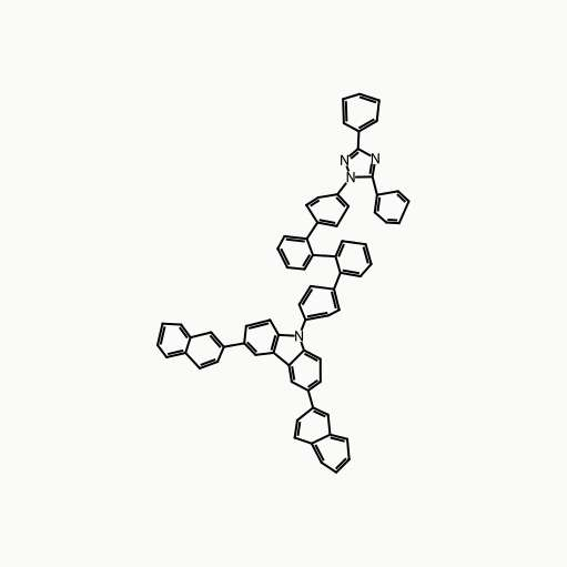 c1ccc(-c2nc(-c3ccccc3)n(-c3ccc(-c4ccccc4-c4ccccc4-c4ccc(-n5c6ccc(-c7ccc8ccccc8c7)cc6c6cc(-c7ccc8ccccc8c7)ccc65)cc4)cc3)n2)cc1